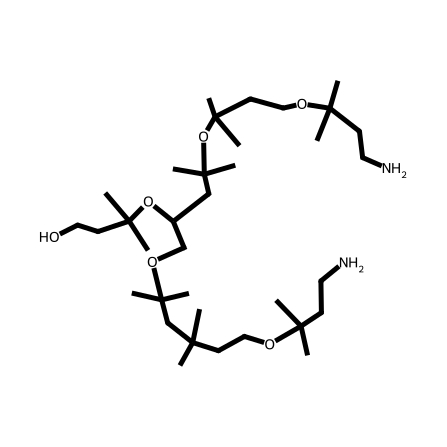 CC(C)(CCOC(C)(C)CCN)CC(C)(C)OCC(CC(C)(C)OC(C)(C)CCOC(C)(C)CCN)OC(C)(C)CCO